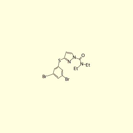 CCN(CC)C(=O)n1ccc(Sc2cc(Br)cc(Br)c2)n1